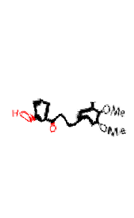 COc1cc(CCC(=O)c2cccc(O)c2)cc(C)c1OC